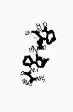 CCC(C)C(N)C(=O)Nc1ccccc1-c1ccccc1NC(=O)/C=C1\c2ccccc2C(=O)NC1C(C)CC